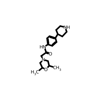 CC1CN(CC(=O)Nc2ccc(C3CCNCC3)cc2)CC(C)O1